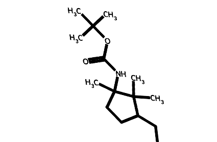 CC(C)(C)OC(=O)NC1(C)CCC(CI)C1(C)C